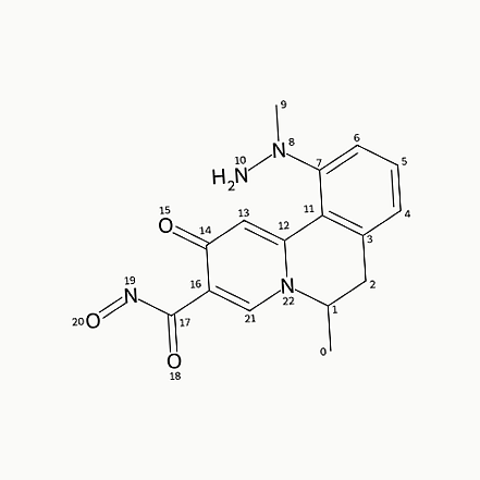 CC1Cc2cccc(N(C)N)c2-c2cc(=O)c(C(=O)N=O)cn21